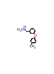 CNCc1cccc(Oc2ccc(C)cc2)c1